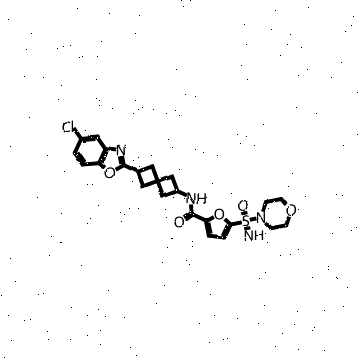 N=S(=O)(c1ccc(C(=O)NC2CC3(C2)CC(c2nc4cc(Cl)ccc4o2)C3)o1)N1CCOCC1